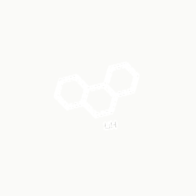 [LiH].c1ccc2c(c1)ccc1ccccc12